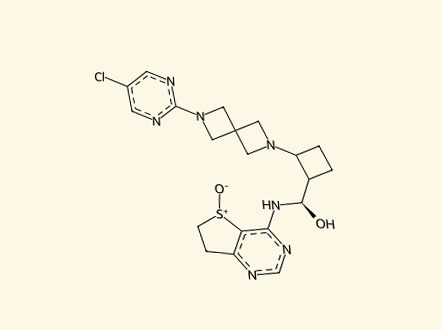 [O-][S+]1CCc2ncnc(N[C@H](O)C3CCC3N3CC4(CN(c5ncc(Cl)cn5)C4)C3)c21